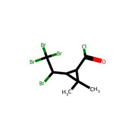 CC1(C)C(C(=O)Cl)C1C(Br)C(Br)(Br)Br